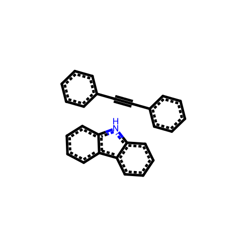 C(#Cc1ccccc1)c1ccccc1.c1ccc2c(c1)[nH]c1ccccc12